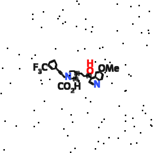 COc1ccc2nccc([C@@H](O)CC[C@@H]3CCN(CC#Cc4cccc(C(F)(F)F)c4)C[C@@H]3CC(=O)O)c2c1